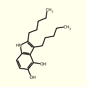 CCCCCc1[nH]c2ccc(O)c(O)c2c1CCCCC